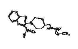 COBNCC1CCN(c2cc3ncccc3cc2[N+](=O)[O-])CC1